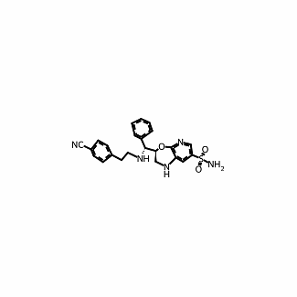 N#Cc1ccc(CCN[C@H](c2ccccc2)[C@@H]2CNc3cc(S(N)(=O)=O)cnc3O2)cc1